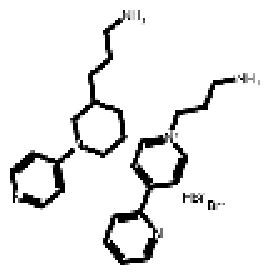 Br.NCCCC1CCCN(c2ccncc2)C1.NCCC[n+]1ccc(-c2ccccn2)cc1.[Br-]